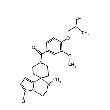 COc1cc(C(=O)N2CCC3(CC2)c2ccc(Cl)n2CCN3C)ccc1OCC(C)C